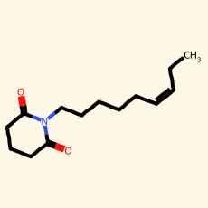 CC/C=C\CCCCCN1C(=O)CCCC1=O